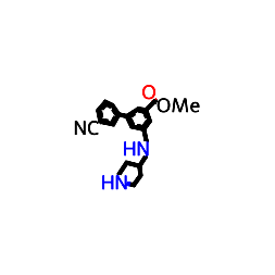 COC(=O)c1cc(CNCC2CCNCC2)cc(-c2cccc(C#N)c2)c1